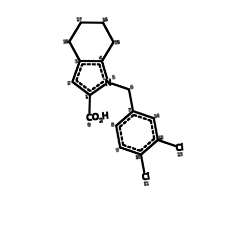 O=C(O)c1cc2c(n1Cc1ccc(Cl)c(Cl)c1)CCCC2